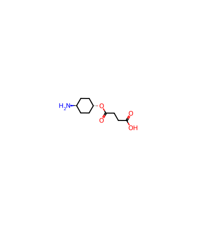 N[C@H]1CC[C@H](OC(=O)CCC(=O)O)CC1